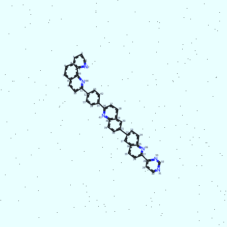 c1cnc2c(c1)ccc1ccc(-c3ccc(-c4ccc5cc(-c6ccc7nc(-c8ccncn8)ccc7c6)ccc5n4)cc3)nc12